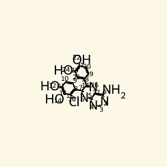 Nc1ncnc2nc(-c3ccc(O)c(O)c3Cl)c(-c3ccc(O)c(O)c3)nc12